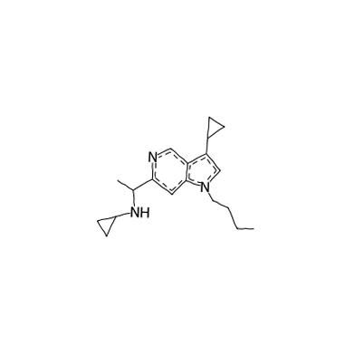 CCCCn1cc(C2CC2)c2cnc(C(C)NC3CC3)cc21